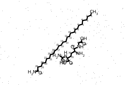 CCCCCCCCCCCCCCCCCCCCCCCCCCCC(N)=O.N=C(N)NC(CC[C@H](N)C(=O)NCC(=O)O)C(=O)O